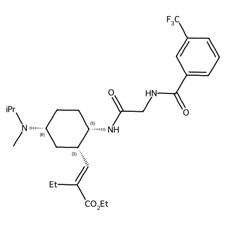 CCOC(=O)C(=C[C@@H]1C[C@H](N(C)C(C)C)CC[C@@H]1NC(=O)CNC(=O)c1cccc(C(F)(F)F)c1)CC